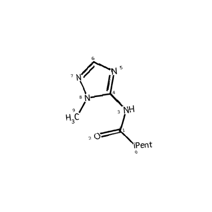 CCCC(C)C(=O)Nc1ncnn1C